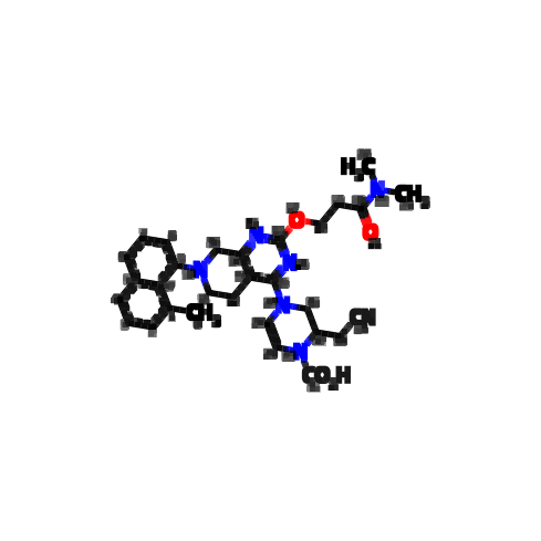 Cc1cccc2cccc(N3CCc4c(nc(OCCC(=O)N(C)C)nc4N4C=CN(C(=O)O)C(CC#N)C4)C3)c12